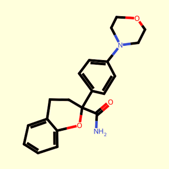 NC(=O)C1(c2ccc(N3CCOCC3)cc2)CCc2ccccc2O1